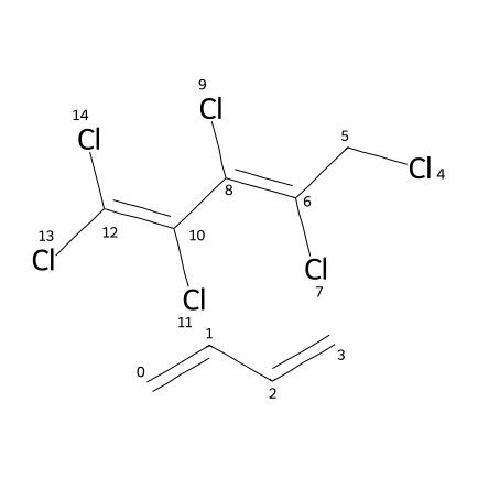 C=CC=C.ClCC(Cl)=C(Cl)C(Cl)=C(Cl)Cl